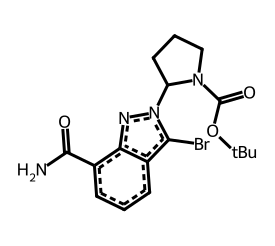 CC(C)(C)OC(=O)N1CCCC1n1nc2c(C(N)=O)cccc2c1Br